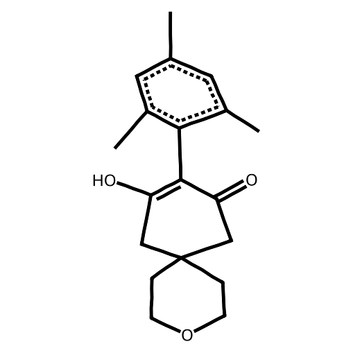 Cc1cc(C)c(C2=C(O)CC3(CCOCC3)CC2=O)c(C)c1